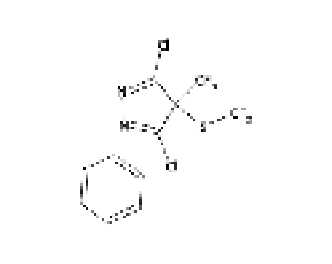 FC(F)(F)SC1(C(F)(F)F)C(Cl)=NN=C1Cl.c1ccccc1